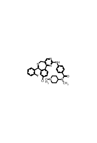 CN1CCC(N(C)C(=O)c2ccc(Nc3ncc4c(n3)-c3ccc(Cl)cc3C(c3ccccc3F)=NC4)cc2)CC1